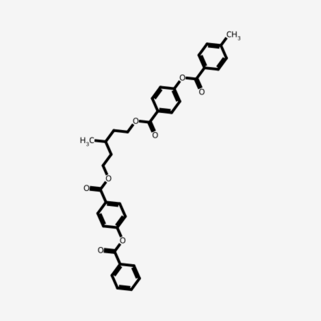 Cc1ccc(C(=O)Oc2ccc(C(=O)OCCC(C)CCOC(=O)c3ccc(OC(=O)c4ccccc4)cc3)cc2)cc1